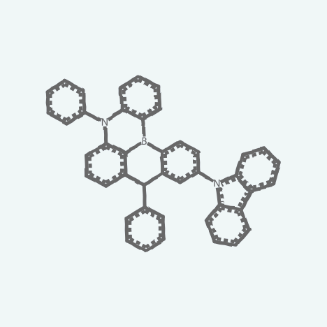 c1ccc(C2c3cc(-n4c5ccccc5c5ccccc54)ccc3B3c4ccccc4N(c4ccccc4)c4cccc2c43)cc1